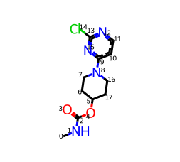 CNC(=O)OC1CCN(c2ccnc(Cl)n2)CC1